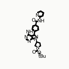 CC(C)(C)OC(=O)N1CCC(n2nc(-c3ccc(C(=O)Nc4ccccn4)cc3)c3c(N)ncnc32)C1